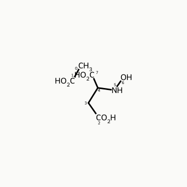 CC(=O)O.O=C(O)CC(NO)C(=O)O